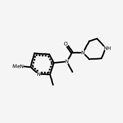 CNc1ccc(N(C)C(=O)N2CCNCC2)c(C)n1